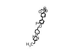 CCc1cnc(N2CCC(COc3ccc(-c4ccc5c(c4)OCS5(=O)=O)cc3F)CC2)nc1